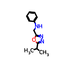 CC(C)c1nnc(CNc2ccccc2)o1